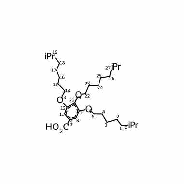 CC(C)CCCCCOc1cc(C(=O)O)cc(OCCCCCC(C)C)c1OCCCCCC(C)C